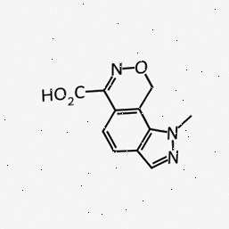 Cn1ncc2ccc3c(c21)CON=C3C(=O)O